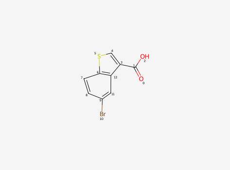 O=C(O)c1csc2ccc(Br)cc12